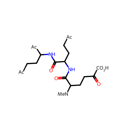 CNC(CCC(=O)C(=O)O)C(=O)NC(CCC(C)=O)C(=O)NC(CCC(C)=O)C(C)=O